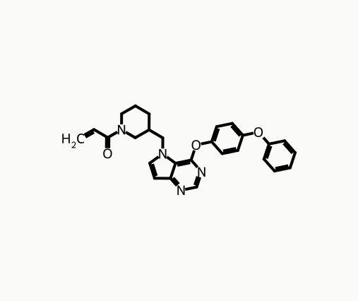 C=CC(=O)N1CCCC(Cn2ccc3ncnc(Oc4ccc(Oc5ccccc5)cc4)c32)C1